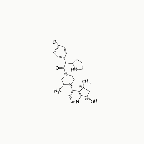 CC1CN(C(=O)C(c2ccc(Cl)cc2)C2CCCN2)CCN1c1ncnc2c1[C@H](C)C[C@H]2O